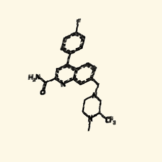 CN1CCN(Cc2ccc3c(-c4ccc(F)cc4)cc(C(N)=O)nc3c2)CC1C(F)(F)F